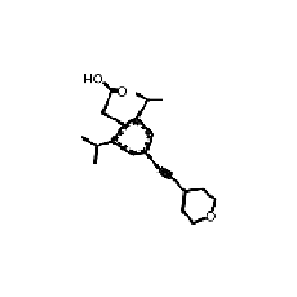 CC(C)c1cc(C#CC2CCOCC2)cc(C(C)C)c1CC(=O)O